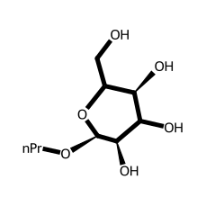 CCCO[C@H]1OC(CO)[C@@H](O)C(O)[C@H]1O